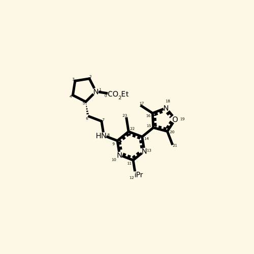 CCOC(=O)N1CCC[C@H]1CCNc1nc(C(C)C)nc(-c2c(C)noc2C)c1C